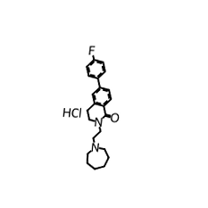 Cl.O=C1c2ccc(-c3ccc(F)cc3)cc2CCN1CCN1CCCCCC1